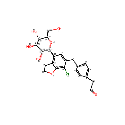 O=CCc1ccc(Cc2cc([C@@H]3O[C@H](CO)[C@@H](O)[C@H](O)[C@@H]3O)c3c(c2Cl)OCC3)cc1